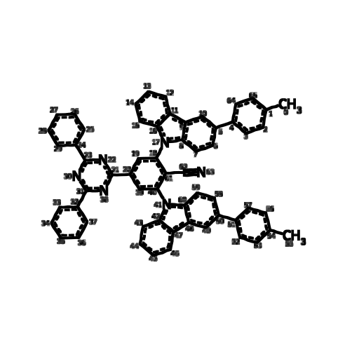 Cc1ccc(-c2ccc3c(c2)c2ccccc2n3-c2cc(-c3nc(-c4ccccc4)nc(-c4ccccc4)n3)cc(-n3c4ccccc4c4cc(-c5ccc(C)cc5)ccc43)c2C#N)cc1